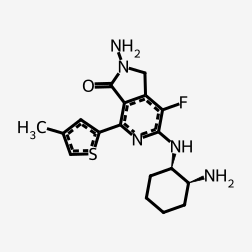 Cc1csc(-c2nc(N[C@@H]3CCCC[C@@H]3N)c(F)c3c2C(=O)N(N)C3)c1